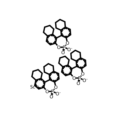 O=P1([O-])Oc2ccc3c(c2-c2c(ccc4c2CCCC4)O1)CCCC3.O=P1([O-])Oc2ccc3c(c2-c2c(ccc4c2CCCC4)O1)CCCC3.O=P1([O-])Oc2ccc3c(c2-c2c(ccc4c2CCCC4)O1)CCCC3.[Sc+3]